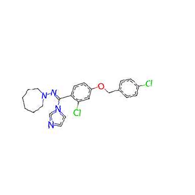 Clc1ccc(COc2ccc(C(=NN3CCCCCC3)n3ccnc3)c(Cl)c2)cc1